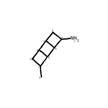 CC1CC2C3CC(N)C3C12